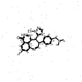 CCn1ncnc1C1c2n[nH]c(=O)c3cc(F)cc(c23)N=CC1c1ccc(CN(C)C)cc1